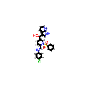 O=S(=O)(c1ccccc1)N1CC(C(O)c2c[nH]c3ncccc23)=CC=C1CNc1ccc(Cl)cc1